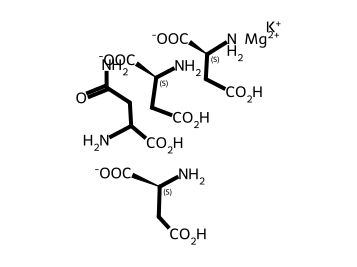 NC(=O)CC(N)C(=O)O.N[C@@H](CC(=O)O)C(=O)[O-].N[C@@H](CC(=O)O)C(=O)[O-].N[C@@H](CC(=O)O)C(=O)[O-].[K+].[Mg+2]